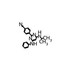 CC(C)Nc1cc(Nc2ccccc2)nc(-c2ccc(C#N)cc2)n1